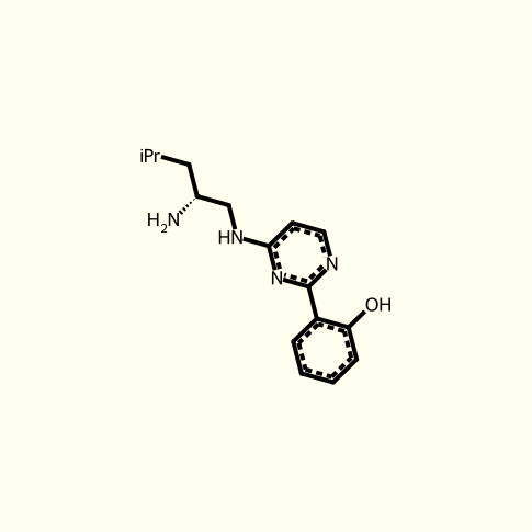 CC(C)C[C@@H](N)CNc1ccnc(-c2ccccc2O)n1